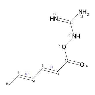 C/C=C/C=C/C(=O)ONC(=N)N